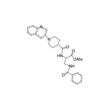 COC(=O)C(CNC(=O)c1ccccc1)NC(=O)C1CCN(c2cnc3ccccc3c2)CC1